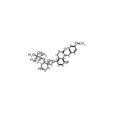 COc1ccc(CN2C(=O)CCc3c(OCC4(O)CCNCC4O[Si](C)(C)C(C)(C)C)ccc(F)c32)cc1